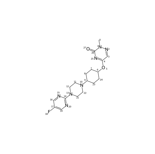 Cn1ncc(OC2CCC(N3CCN(c4ncc(F)cn4)CC3)CC2)nc1=O